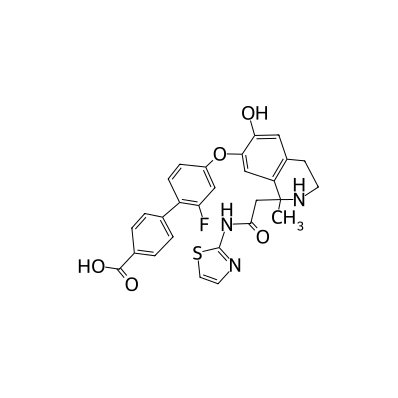 CC1(CC(=O)Nc2nccs2)NCCc2cc(O)c(Oc3ccc(-c4ccc(C(=O)O)cc4)c(F)c3)cc21